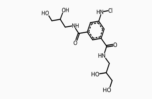 O=C(NCC(O)CO)c1cc(NCl)cc(C(=O)NCC(O)CO)c1